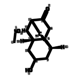 CS(=O)(=O)O.O=C1CN2[C@@H]3CC(O)C[C@@H]2CC1C3